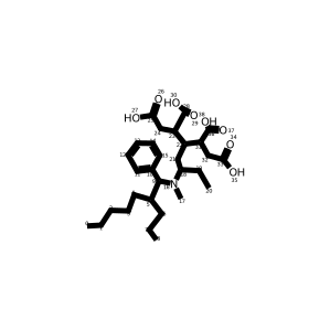 CCCCCC(CCC)C(c1ccccc1)N(C)C(CC)CC(C(CC(=O)O)C(=O)O)C(CC(=O)O)C(=O)O